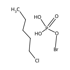 CCCCCCl.O=P(O)(O)OBr